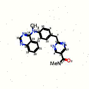 CNC(=O)c1cnc(Cc2ccc(N(C)c3ncnc4ccccc34)cc2)nc1